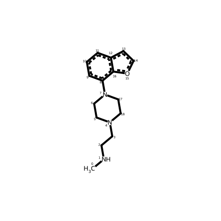 CNCCN1CCN(c2cccc3ccoc23)CC1